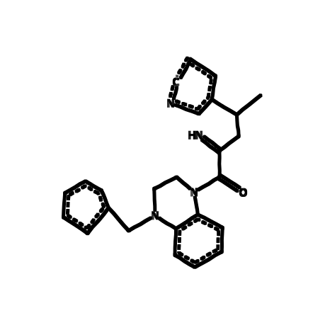 CC(CC(=N)C(=O)N1CCN(Cc2ccccc2)c2ccccc21)c1cccnc1